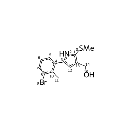 CSc1[nH]c(-c2cccc(Br)c2C)cc1CO